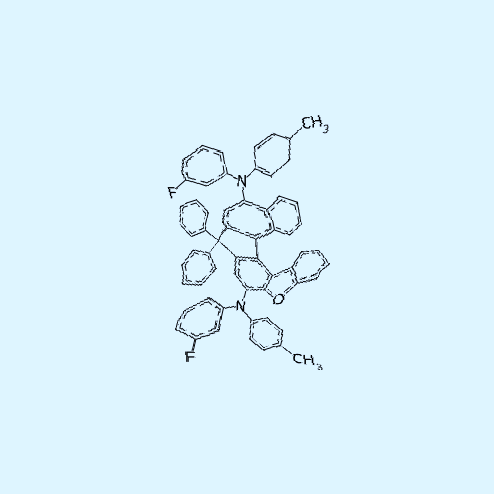 Cc1ccc(N(c2cccc(F)c2)c2cc3c(c4c2oc2ccccc24)-c2c(cc(N(C4=CCC(C)C=C4)c4cccc(F)c4)c4ccccc24)C3(c2ccccc2)c2ccccc2)cc1